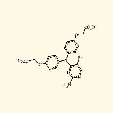 CCOC(=O)COc1ccc(N(c2ccc(OCC(=O)OCC)cc2)c2nc(N)ncc2Br)cc1